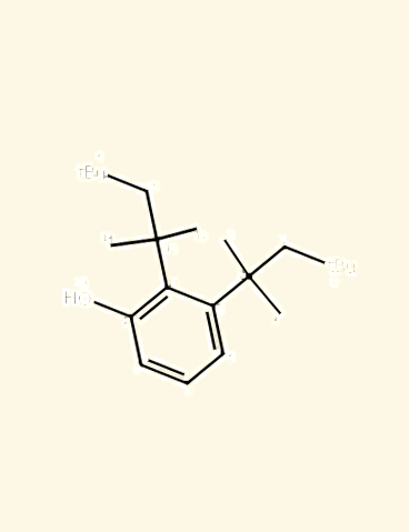 CC(C)(C)CC(C)(C)c1cccc(O)c1C(C)(C)CC(C)(C)C